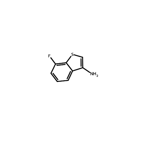 Nc1csc2c(F)cccc12